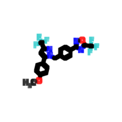 COc1ccc(-c2cc(C(F)(F)F)nn2Cc2ccc(-c3noc(C(F)(F)F)n3)cc2)cc1